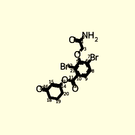 NC(=O)COc1c(Br)ccc(C(=O)OC2=CC(=O)CCC2)c1Br